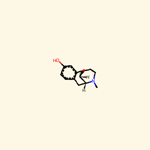 CN1CCC23CCCC[C@H]2[C@H]1Cc1ccc(O)cc13